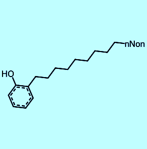 CCCCCCCCCCCCCCCCCCc1ccccc1O